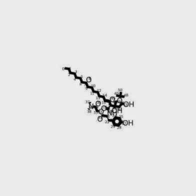 CCCCCCCC(=O)CCCCCC/C=C/[C@H](C(=O)N[C@@H](Cc1ccc(O)cc1)C(=O)OCC(=O)N(C)C)[C@@](O)(CCO)C(=O)OC(C)(C)C